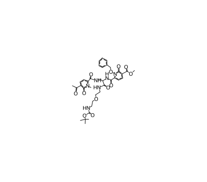 COC(=O)c1ccc(C(=O)NC(CNC(=O)c2ccc(C(C)=O)c(=O)n2C)C(=O)NCCOCCNC(=O)OC(C)(C)C)n(OCc2ccccc2)c1=O